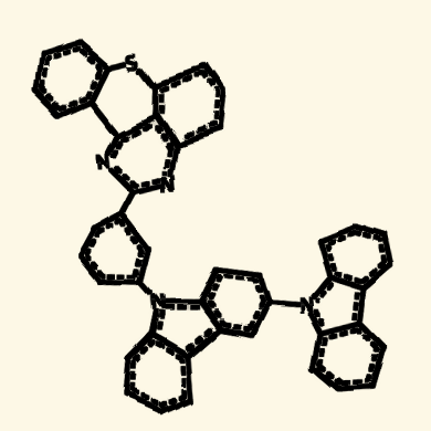 c1cc(-c2nc3c4c(cccc4n2)Sc2ccccc2-3)cc(-n2c3ccccc3c3cc(-n4c5ccccc5c5ccccc54)ccc32)c1